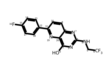 Oc1nc(NCC(F)(F)F)nc2ccc(-c3ccc(F)cc3)nc12